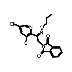 CCCON=C(CN1C(=O)c2ccccc2C1=O)c1ncc(Cl)cc1Cl